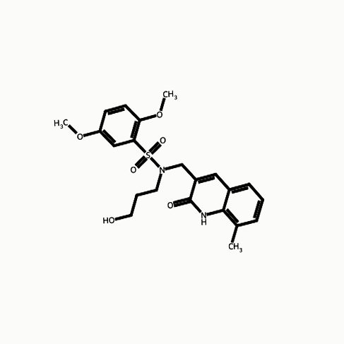 COc1ccc(OC)c(S(=O)(=O)N(CCCO)Cc2cc3cccc(C)c3[nH]c2=O)c1